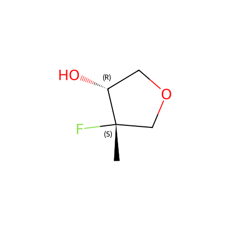 C[C@]1(F)COC[C@H]1O